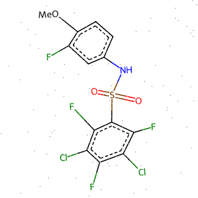 COc1ccc(NS(=O)(=O)c2c(F)c(Cl)c(F)c(Cl)c2F)cc1F